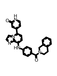 O=C(c1ccc(Nc2ccc(-c3cc[nH]c(=O)c3)n3ccnc23)cc1)N1CCc2ccccc2C1